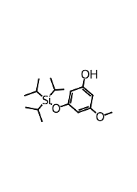 COc1cc(O)cc(O[Si](C(C)C)(C(C)C)C(C)C)c1